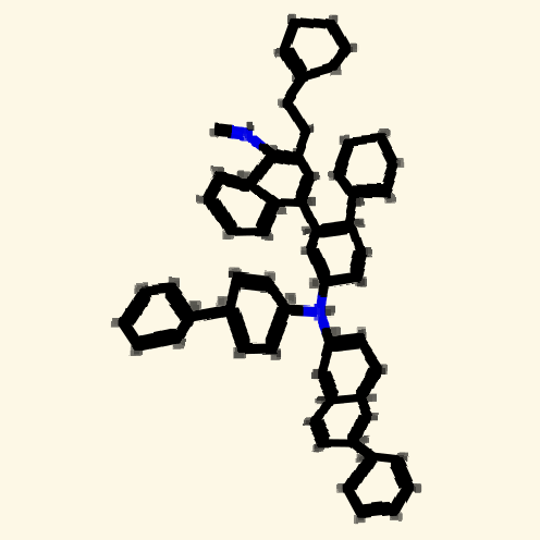 C=Nc1c(CCC2=CCCCC2)cc(-c2cc(N(c3ccc(-c4ccccc4)cc3)c3ccc4cc(-c5ccccc5)ccc4c3)ccc2C2=CCCC=C2)c2ccccc12